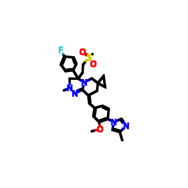 COc1cc(/C=C2\CC3(CC3)CN3C2=NN(C)CC3(CCS(C)(=O)=O)c2ccc(F)cc2)ccc1-n1cnc(C)c1